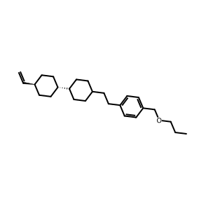 C=C[C@H]1CC[C@H](C2CCC(CCc3ccc(COCCC)cc3)CC2)CC1